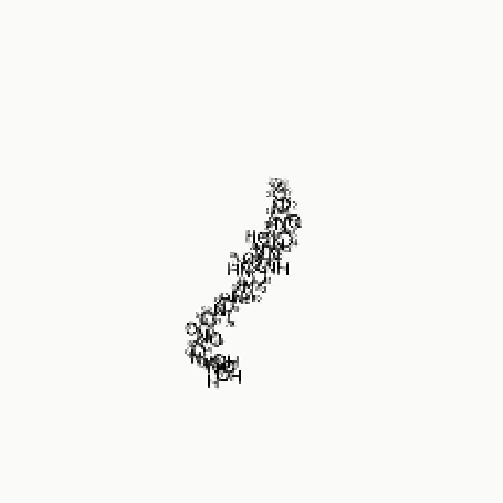 C=CC(=O)Nc1cc(Nc2nc(N3CCC[C@@H](N4CCn5c(cc6c5CC(C)(C)C6)C4=O)[C@H]3C(C)O)cn(C)c2=O)ccc1N1CCN(C2CCN(c3ccc4c(c3)C(=O)N(c3ccnc(C(C)(C)NP(=O)(O)O)c3)C4=O)[C@H](C)C2)C[C@@H]1C